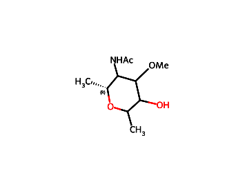 COC1C(O)C(C)O[C@H](C)C1NC(C)=O